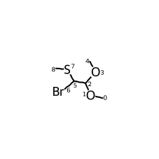 COC(OC)C(Br)SC